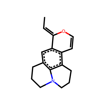 C/C=C1\OC=Cc2c1cc1c3c2CCCN3CCC1